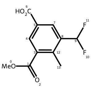 COC(=O)c1cc(C(=O)O)cc(C(F)F)c1C